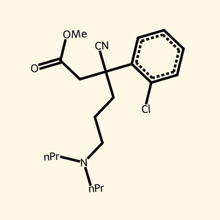 CCCN(CCC)CCCC(C#N)(CC(=O)OC)c1ccccc1Cl